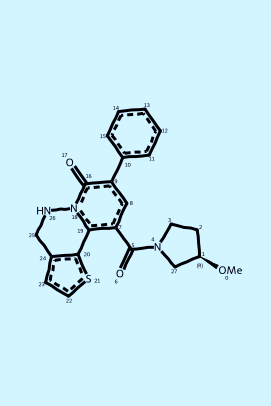 CO[C@@H]1CCN(C(=O)c2cc(-c3ccccc3)c(=O)n3c2-c2sccc2CN3)C1